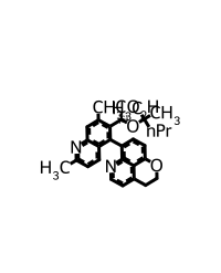 CCCC(C)(C)O[C@H](C(=O)O)c1c(C)cc2nc(C)ccc2c1-c1ccc2c3c(ccnc13)CCO2